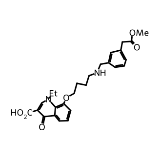 CCn1cc(C(=O)O)c(=O)c2cccc(OCCCCNCc3cccc(CC(=O)OC)c3)c21